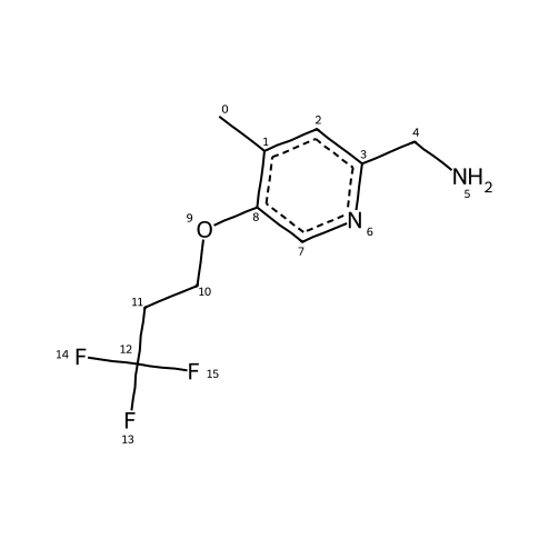 Cc1cc(CN)ncc1OCCC(F)(F)F